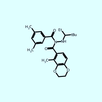 CCC(NN(C(=O)c1cc(C)cc(C)c1)C(=O)c1ccc2c(c1C)OCCO2)C(C)(C)C